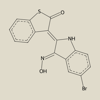 O=C1Sc2ccccc2/C1=C1/Nc2ccc(Br)cc2/C1=N\O